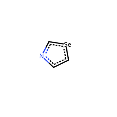 c1c[se]cn1